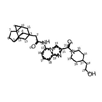 O=C(CC12CC3CCC4(CC4C1)C3C2)Nc1cccc2nc(C(=O)N3CCC(CCO)CC3)cn12